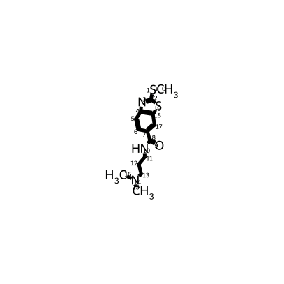 CSc1nc2ccc(C(=O)NCCCN(C)C)cc2s1